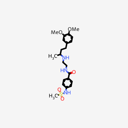 COc1ccc(CCC(C)NCCNC(=O)c2ccc(NS(C)(=O)=O)cc2)cc1OC